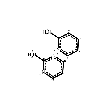 Nc1ccccn1.Nc1ncccn1